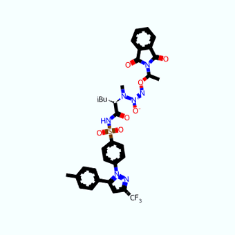 CC[C@@H](C)[C@@H](C(=O)NS(=O)(=O)c1ccc(-n2nc(C(F)(F)F)cc2-c2ccc(C)cc2)cc1)N(C)/[N+]([O-])=N\OC(C)N1C(=O)c2ccccc2C1=O